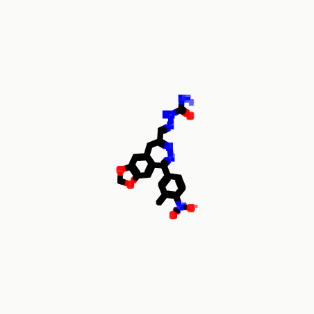 Cc1cc(C2=NN=C(C=NNC(N)=O)Cc3cc4c(cc32)OCO4)ccc1[N+](=O)[O-]